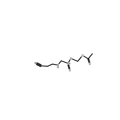 CC(=O)OCO[PH](=O)CNCCC#N